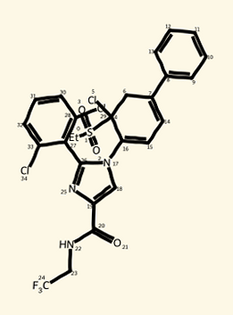 CCS(=O)(=O)C1(Cl)CC(c2ccccc2)=CC=C1n1cc(C(=O)NCC(F)(F)F)nc1-c1c(Cl)cccc1Cl